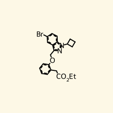 CCOC(=O)Cc1ccccc1OCc1nn(C2CCC2)c2ccc(Br)cc12